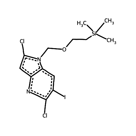 C[Si](C)(C)CCOCn1c(Cl)cc2nc(Cl)c(I)cc21